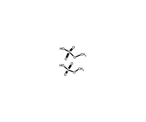 COS(=O)(=O)O.COS(=O)(=O)O